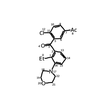 CCc1c(C(=O)c2cc(C(C)=O)ccc2Cl)cccc1N1CCOCC1